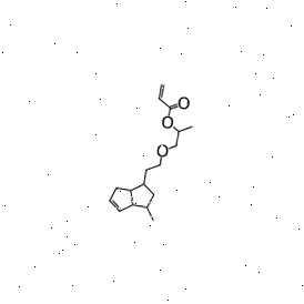 C=CC(=O)OC(C)COCCC1CC(C)C2C=CCC12